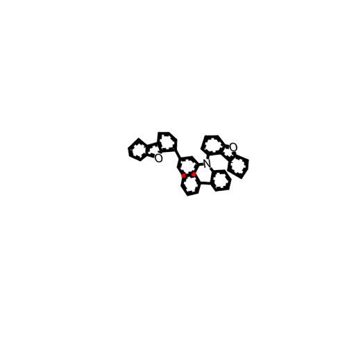 c1ccc(-c2ccccc2N(c2cccc(-c3cccc4c3oc3ccccc34)c2)c2cccc3oc4ccccc4c23)cc1